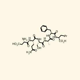 CC(C)C[C@H](NC(=O)[C@H](Cc1ccccc1)NC(=O)[C@H](C)NC(=O)[C@H](CO)NC(=O)[C@H](CCC(N)=O)NC(=O)[C@@H](N)CC(=O)O)C(=O)O